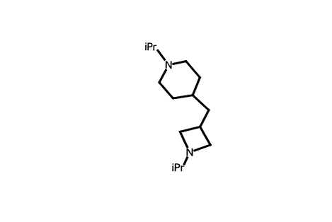 CC(C)N1CCC(CC2CN(C(C)C)C2)CC1